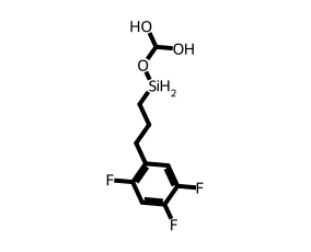 OC(O)O[SiH2]CCCc1cc(F)c(F)cc1F